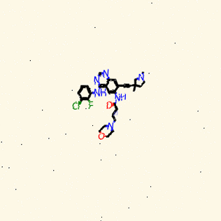 CN1CCC(C)(C#Cc2cc3ncnc(Nc4cccc(Cl)c4F)c3cc2NC(=O)/C=C/CN2CCOCC2)C1